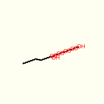 CCCCCCCCCCCCC#CC#CCCCCCCCCCOC(O)COCCOCCOCCOCCOCCOCCOCCO